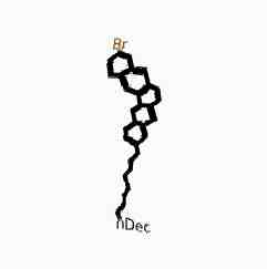 CCCCCCCCCCCCCCCCCCc1ccc2cc3c(ccc4cc5cc(Br)ccc5cc43)cc2c1